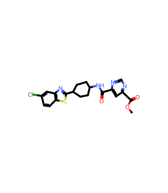 COC(=O)c1cc(C(=O)NC2CCC(c3nc4cc(Cl)ccc4s3)CC2)ncn1